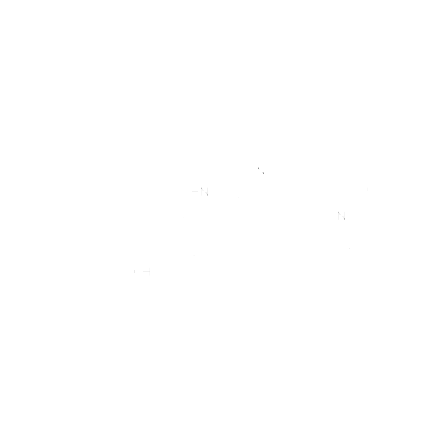 Cc1ccccc1C(=O)Nc1ccc([N+](=O)[O-])cn1